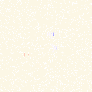 Cc1nc(NC(C)(C)C)sc1C(=O)O